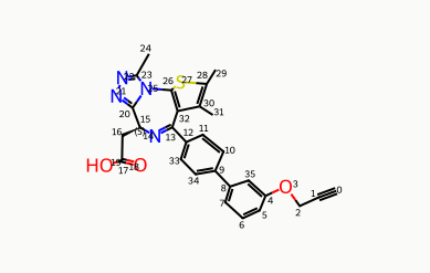 C#CCOc1cccc(-c2ccc(C3=N[C@@H](CC(=O)O)c4nnc(C)n4-c4sc(C)c(C)c43)cc2)c1